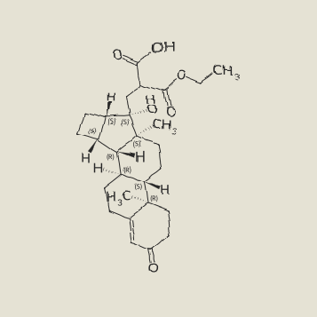 CCOC(=O)C(C[C@]1(O)[C@H]2CC[C@H]2[C@H]2[C@@H]3CCC4=CC(=O)CC[C@]4(C)[C@H]3CC[C@@]21C)C(=O)O